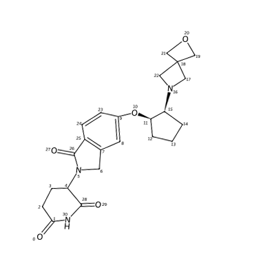 O=C1CCC(N2Cc3cc(O[C@@H]4CCC[C@@H]4N4CC5(COC5)C4)ccc3C2=O)C(=O)N1